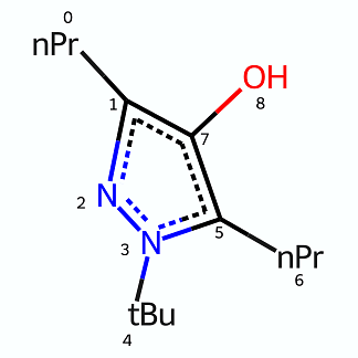 CCCc1nn(C(C)(C)C)c(CCC)c1O